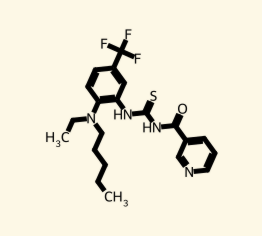 CCCCCN(CC)c1ccc(C(F)(F)F)cc1NC(=S)NC(=O)c1cccnc1